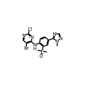 Cn1ncnc1-c1ccc(Nc2nc(Cl)ncc2Br)c(P(C)(C)=O)c1